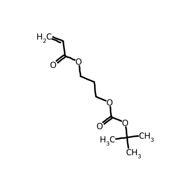 C=CC(=O)OCCCOC(=O)OC(C)(C)C